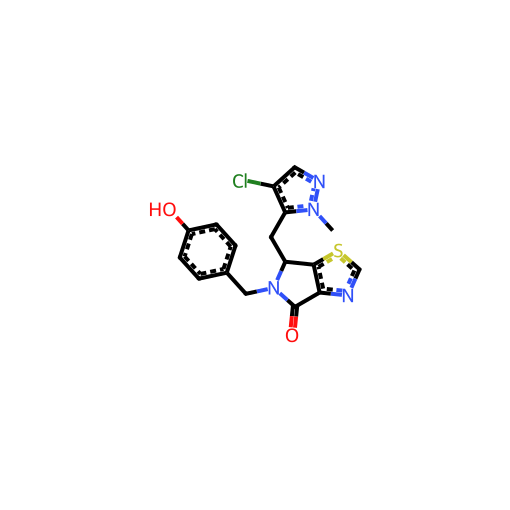 Cn1ncc(Cl)c1CC1c2scnc2C(=O)N1Cc1ccc(O)cc1